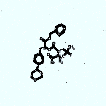 C[CH]C(=O)N(C)[C@@H](CC(C)(C)F)C(=O)O[C@H](Cc1ccc(C2CCOCC2)cc1)C(=O)OCc1ccccc1